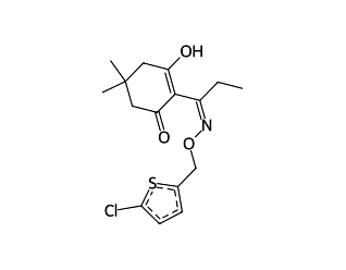 CC/C(=N/OCc1ccc(Cl)s1)C1=C(O)CC(C)(C)CC1=O